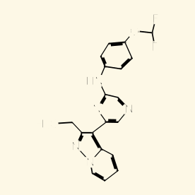 CCc1nn2ccccc2c1-c1cncc(Nc2ccc(OC(F)F)cc2)n1